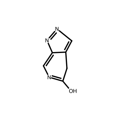 OC1=NC=C2N=NC=C2C1